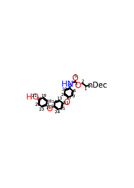 CCCCCCCCCCCCOC(=O)Nc1ccc(Oc2ccc(Oc3ccc(O)cc3)cc2)cc1